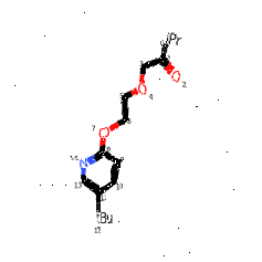 CC(C)C(=O)COCCOc1ccc(C(C)(C)C)cn1